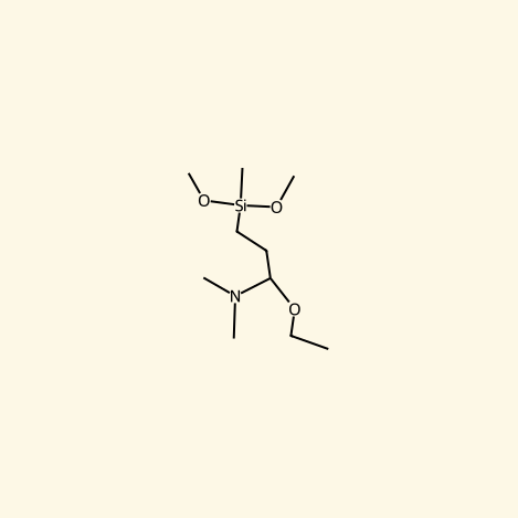 CCOC(CC[Si](C)(OC)OC)N(C)C